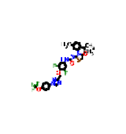 Cc1ccc(C(C)C)c(N2C(=O)CS/C2=N\C(=O)Nc2cc(F)c(OCc3ncn(-c4ccc(OC(F)(F)F)cc4)n3)c(F)c2)c1